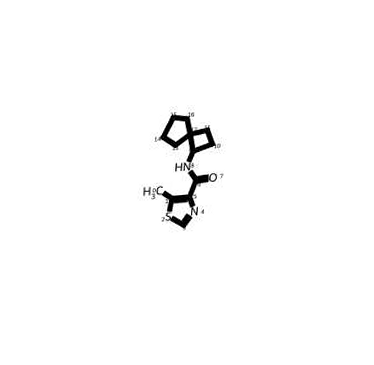 Cc1scnc1C(=O)NC1CCC12CCCC2